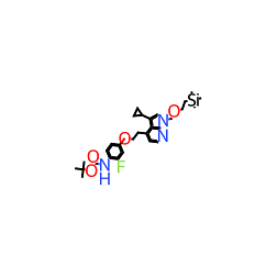 CC(C)(C)OC(=O)Nc1ccc(OCCc2ccnc3c2c(C2CC2)cn3COCC[Si](C)(C)C)cc1F